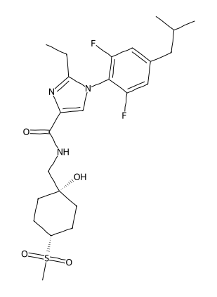 CCc1nc(C(=O)NC[C@]2(O)CC[C@@H](S(C)(=O)=O)CC2)cn1-c1c(F)cc(CC(C)C)cc1F